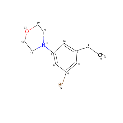 FC(F)(F)Cc1cc(Br)cc(N2CCOCC2)c1